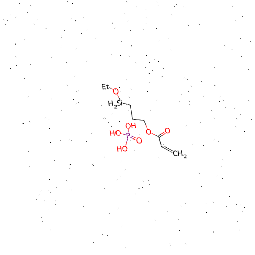 C=CC(=O)OCCC[SiH2]OCC.O=P(O)(O)O